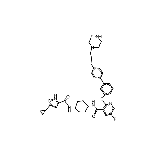 O=C(N[C@H]1CC[C@@H](NC(=O)c2cc(F)cnc2Oc2cccc(-c3ccc(CCCN4CCNCC4)cc3)c2)CC1)c1cc(C2CC2)n[nH]1